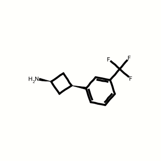 N[C@H]1C[C@@H](c2cccc(C(F)(F)F)c2)C1